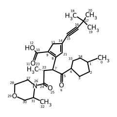 CC1CCC(C(=O)C(C2=C(C(=O)O)CC(C#CC(C)(C)C)=C2)[C@@H](C)C(=O)N2CCOCC2C)CC1